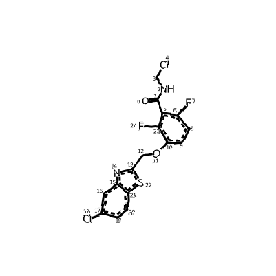 O=C(NCCl)c1c(F)ccc(OCc2nc3cc(Cl)ccc3s2)c1F